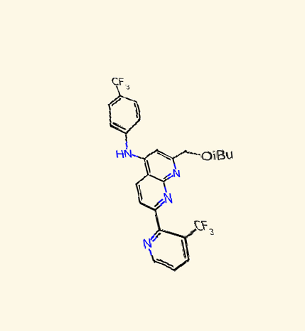 CC(C)COCc1cc(Nc2ccc(C(F)(F)F)cc2)c2ccc(-c3ncccc3C(F)(F)F)nc2n1